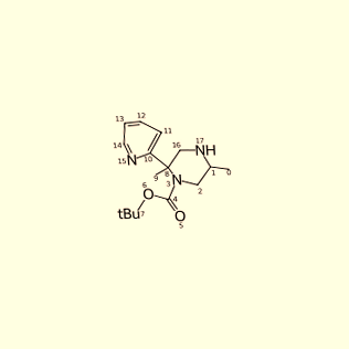 CC1CN(C(=O)OC(C)(C)C)C(C)(c2ccccn2)CN1